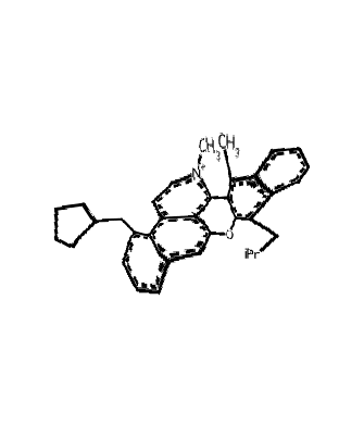 Cc1c2c(c(CC(C)C)c3ccccc13)Oc1cc3cccc(CC4CCCC4)c3c3cc[n+](C)c-2c13